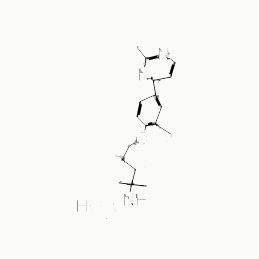 Cc1nccc(-c2ccc(OC[C@@H](C)CC(C)(C)NC(=O)O)c(C)c2)n1